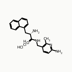 Cc1nc(N)ccc1CNC(=O)[C@@H](N)Cc1cccc2ccccc12.Cl.Cl